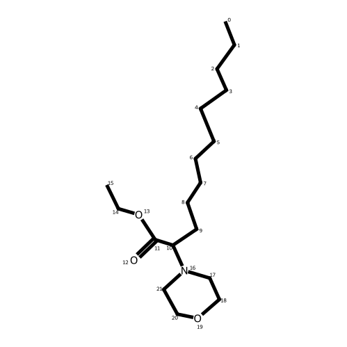 CCCCCCCCCCC(C(=O)OCC)N1CCOCC1